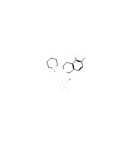 Cc1ccc2c(c1O)C[C@@H](C1CCCCN1C(C)C)O[C@H]2CN.Cl.Cl